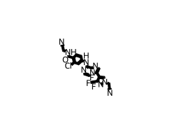 N#CCNC(=O)c1ccc(Nc2nccn3c(-c4cn(CC#N)nc4C(F)(F)F)cnc23)cc1Cl